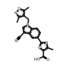 Cc1nc(-c2ccc3c(c2)c(C#N)cn3Cc2c(C)noc2C)sc1C(=O)O